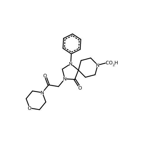 O=C(O)N1CCC2(CC1)C(=O)N(CC(=O)N1CCOCC1)CN2c1ccccc1